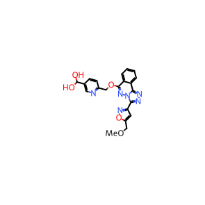 COCc1cc(-c2nnc3c4ccccc4c(OCc4ccc(C(O)O)cn4)nn23)no1